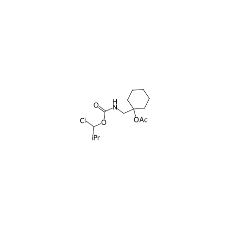 CC(=O)OC1(CNC(=O)OC(Cl)C(C)C)CCCCC1